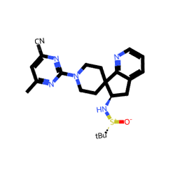 Cc1cc(C#N)nc(N2CCC3(CC2)c2ncccc2C[C@H]3N[S@+]([O-])C(C)(C)C)n1